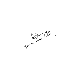 CCCCCCCCCCCCCCCCCC(C)C.CCN(CC)CC